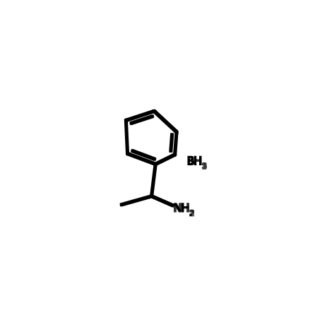 B.CC(N)c1ccccc1